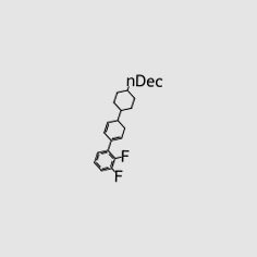 CCCCCCCCCCC1CCC(C2C=CC(c3cccc(F)c3F)=CC2)CC1